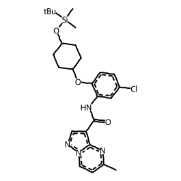 Cc1ccn2ncc(C(=O)Nc3cc(Cl)ccc3OC3CCC(O[Si](C)(C)C(C)(C)C)CC3)c2n1